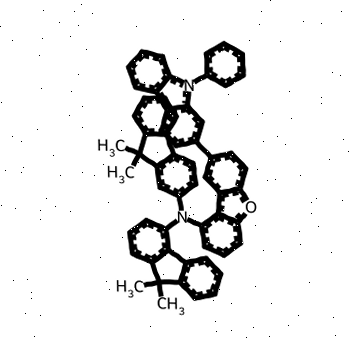 CC1(C)c2ccccc2-c2ccc(N(c3cccc4c3-c3ccccc3C4(C)C)c3cccc4oc5ccc(-c6ccc7c8ccccc8n(-c8ccccc8)c7c6)cc5c34)cc21